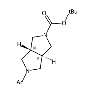 CC(=O)N1C[C@@H]2CN(C(=O)OC(C)(C)C)C[C@H]2C1